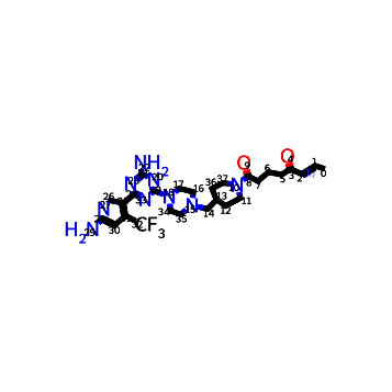 C/C=C/C(=O)CCCC(=O)N1CCC(CN2CCN(c3nc(N)nc(-c4cnc(N)cc4C(F)(F)F)n3)CC2)CC1